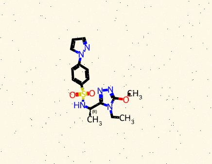 CCn1c(OC)nnc1[C@@H](C)NS(=O)(=O)c1ccc(-n2cccn2)cc1